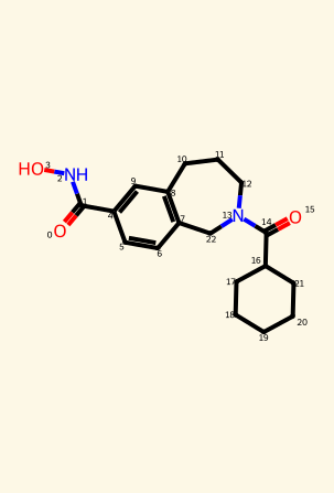 O=C(NO)c1ccc2c(c1)CCCN(C(=O)C1CCCCC1)C2